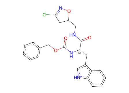 O=C(N[C@@H](Cc1c[nH]c2ccccc12)C(=O)NCC1CC(Cl)=NO1)OCc1ccccc1